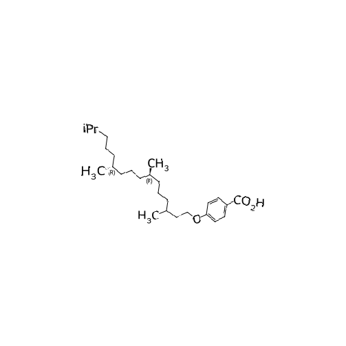 CC(C)CCC[C@@H](C)CCC[C@@H](C)CCCC(C)CCOc1ccc(C(=O)O)cc1